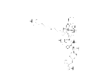 CCCCCCCCCO[C@@H]1[C@H]2OC3(CCCCC3)O[C@H]2O[C@@H]1[C@H](C)NC(=O)Nc1ccc(CC(=O)O)cc1